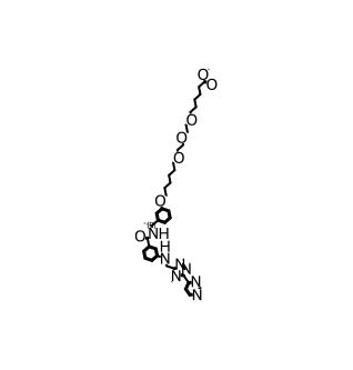 COC(=O)CCCCCOCCOCCOCCCCCCOc1cccc([C@@H](C)NC(=O)c2cccc(NCc3nnc(-c4ccncn4)n3C)c2)c1